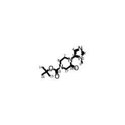 Cn1cncc1N1CCN(C(=O)OC(C)(C)C)CC1=O